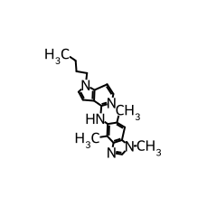 CCCCn1ccc2c(Nc3c(C)cc4c(ncn4C)c3C)nccc21